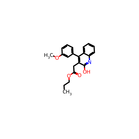 CCCOC(=O)Cc1c(O)nc2ccccc2c1-c1cccc(OC)c1